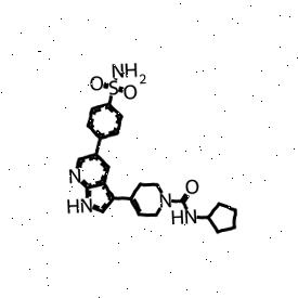 NS(=O)(=O)c1ccc(-c2cnc3[nH]cc(C4=CCN(C(=O)NC5CCCC5)CC4)c3c2)cc1